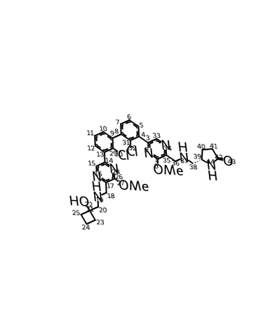 COc1nc(-c2cccc(-c3cccc(-c4cnc(CNCC5(O)CCC5)c(OC)n4)c3Cl)c2Cl)cnc1CNC[C@@H]1CCC(=O)N1